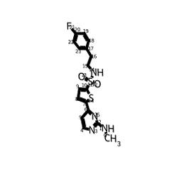 CNc1nccc(-c2ccc(S(=O)(=O)NCCc3ccc(F)cc3)s2)n1